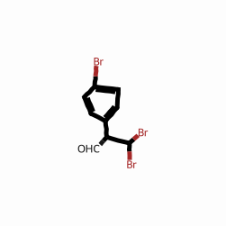 O=CC(c1ccc(Br)cc1)C(Br)Br